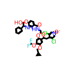 O=C(CNC(=O)c1cccc(NC(C(=O)O)c2ccccc2)c1)OC(Cc1c(Cl)c[n+]([O-])cc1Cl)c1ccc(OC(F)F)c(OCC2CC2)c1